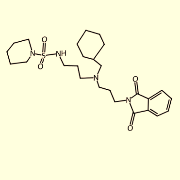 O=C1c2ccccc2C(=O)N1CCCN(CCCNS(=O)(=O)N1CCCCC1)CC1CCCCC1